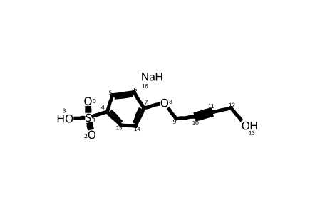 O=S(=O)(O)c1ccc(OCC#CCO)cc1.[NaH]